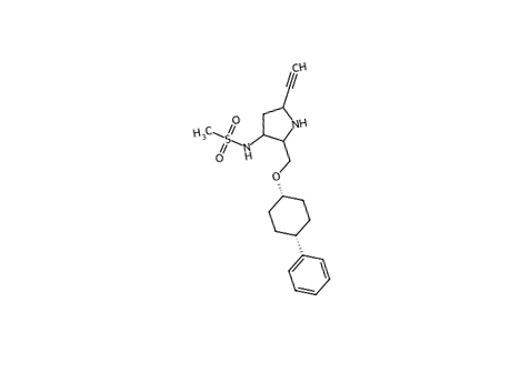 C#CC1CC(NS(C)(=O)=O)C(CO[C@H]2CC[C@@H](c3ccccc3)CC2)N1